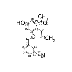 C=CCc1c(OCc2cccc(C#N)c2)cc(O)cc1C(C)=O